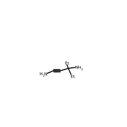 CCC(N)(C#CN)CC